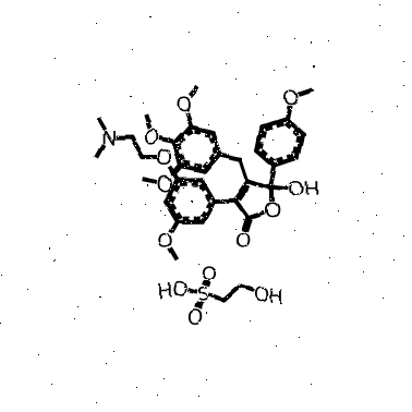 COc1ccc(C2(O)OC(=O)C(c3cc(OC)cc(OCCN(C)C)c3)=C2Cc2cc(OC)c(OC)c(OC)c2)cc1.O=S(=O)(O)CCO